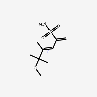 C=C(/C=C(\C)C(C)(C)OC)S(N)(=O)=O